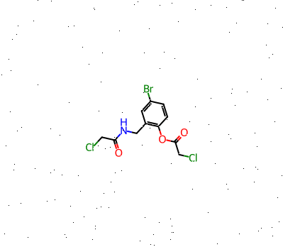 O=C(CCl)NCc1cc(Br)ccc1OC(=O)CCl